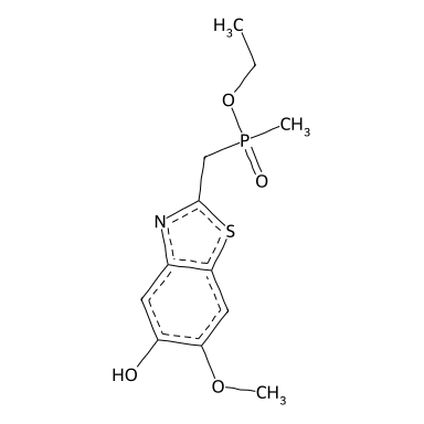 CCOP(C)(=O)Cc1nc2cc(O)c(OC)cc2s1